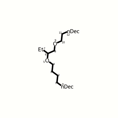 CCCCCCCCCCCCCCOC(CC)COCCCCCCCCCCCC